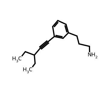 CCC(C#Cc1cccc(CCCN)c1)CC